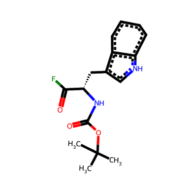 CC(C)(C)OC(=O)N[C@@H](Cc1c[nH]c2ccccc12)C(=O)F